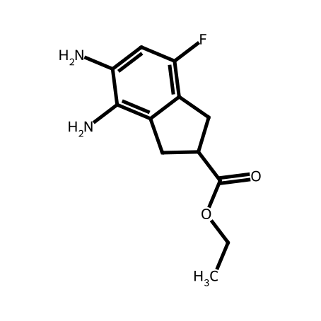 CCOC(=O)C1Cc2c(F)cc(N)c(N)c2C1